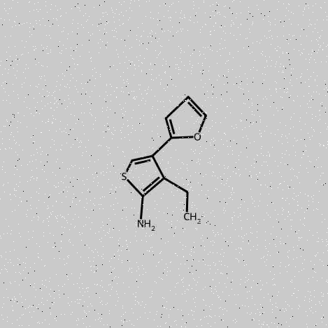 [CH2]Cc1c(-c2ccco2)csc1N